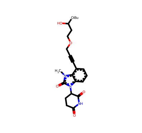 CC(C)COC(O)CCOCC#Cc1cccc2c1n(C)c(=O)n2C1CCC(=O)NC1=O